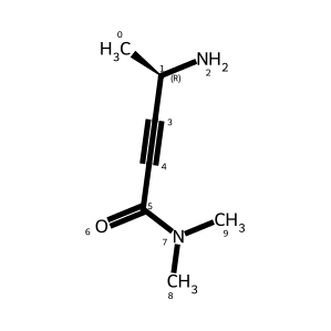 C[C@@H](N)C#CC(=O)N(C)C